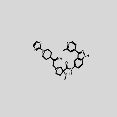 CS[C@@]1(C(=O)Nc2ccc3[nH]nc(-c4ccnc(C)c4)c3c2)CCN(CC(=N)C2CCN(c3nccs3)CC2)C1